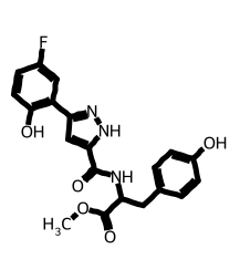 COC(=O)C(Cc1ccc(O)cc1)NC(=O)c1cc(-c2cc(F)ccc2O)n[nH]1